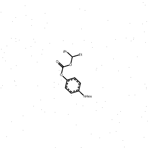 CCCCCCc1ccc(OC(=O)OC(CC)C(C)C)cc1